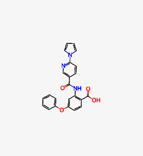 O=C(Nc1cc(Oc2ccccc2)ccc1C(=O)O)c1ccc(-n2cccc2)nc1